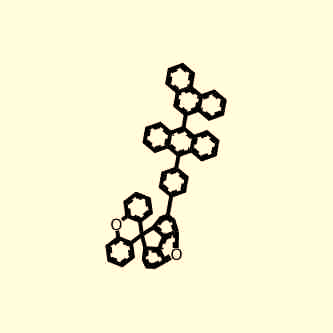 c1ccc2c(c1)Oc1ccccc1C21c2cccc3oc4cc(-c5ccc(-c6c7ccccc7c(-c7cc8ccccc8c8ccccc78)c7ccccc67)cc5)cc1c4c23